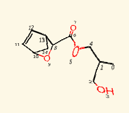 CC(CO)COC(=O)C1OC2C=CC1C2